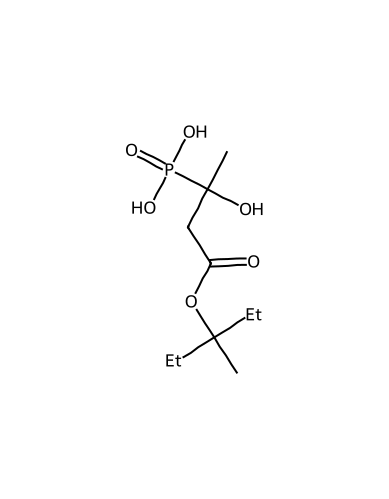 CCC(C)(CC)OC(=O)CC(C)(O)P(=O)(O)O